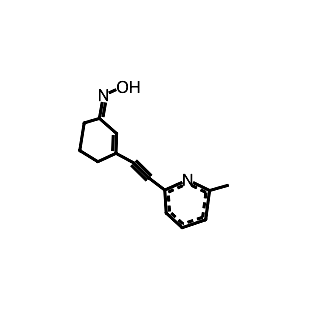 Cc1cccc(C#CC2=CC(=NO)CCC2)n1